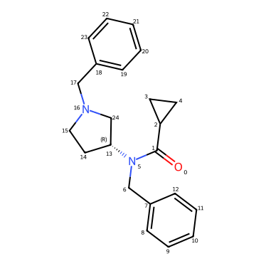 O=C(C1CC1)N(Cc1ccccc1)[C@@H]1CCN(Cc2ccccc2)C1